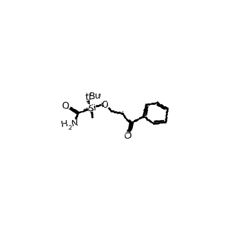 CC(C)(C)[Si@](C)(OC[CH]C(=O)c1ccccc1)C(N)=O